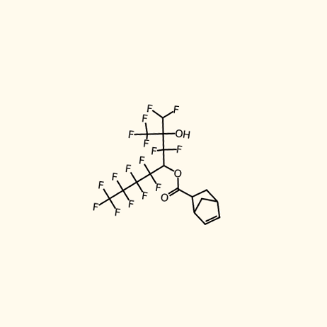 O=C(OC(C(F)(F)C(F)(F)C(F)(F)C(F)(F)F)C(F)(F)C(O)(C(F)F)C(F)(F)F)C1CC2C=CC1C2